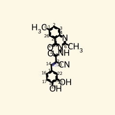 Cc1ccc2nc(C)n(NC(=O)/C(C#N)=C/c3ccc(O)c(O)c3)c(=O)c2c1